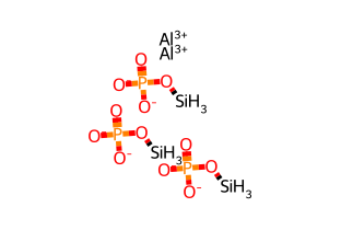 O=P([O-])([O-])O[SiH3].O=P([O-])([O-])O[SiH3].O=P([O-])([O-])O[SiH3].[Al+3].[Al+3]